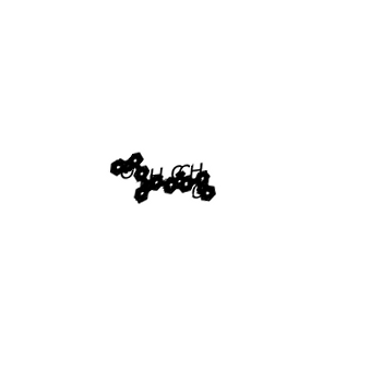 CC1(C)c2cc(-c3ccc4c(c3)c3ccccc3n4-c3ccc(-c4cccc5c4oc4ccccc45)cc3)ccc2-c2ccc(-c3cccc4c3oc3ccccc34)cc21